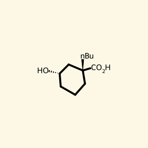 CCCC[C@@]1(C(=O)O)CCC[C@H](O)C1